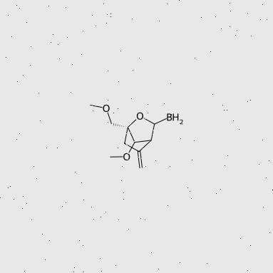 BC1O[C@]2(COC)CC(=C)C1C2OC